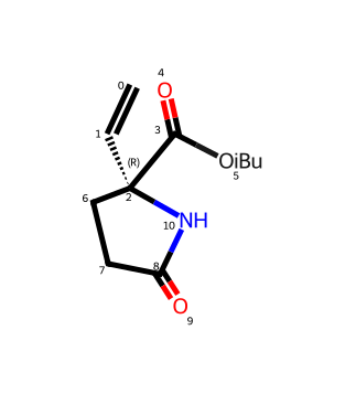 C=C[C@@]1(C(=O)OCC(C)C)CCC(=O)N1